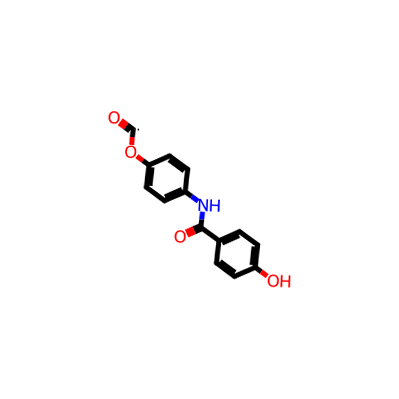 O=[C]Oc1ccc(NC(=O)c2ccc(O)cc2)cc1